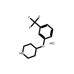 Cl.FC(F)(F)c1cccc(OC2CCNCC2)c1